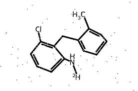 [2H]Nc1cccc(Cl)c1Cc1ccccc1C